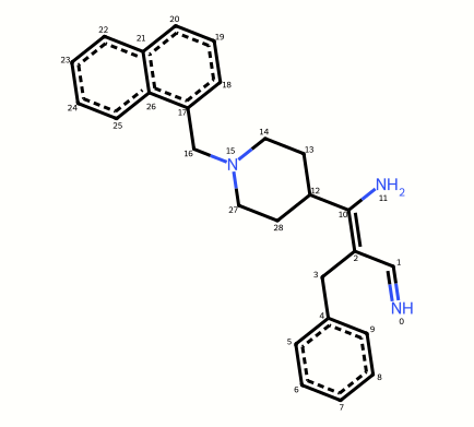 N=C/C(Cc1ccccc1)=C(\N)C1CCN(Cc2cccc3ccccc23)CC1